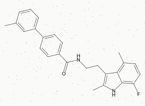 Cc1cccc(-c2ccc(C(=O)NCCc3c(C)[nH]c4c(F)ccc(C)c34)cc2)c1